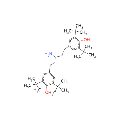 CC(C)(C)c1cc(CCC(N)CCc2cc(C(C)(C)C)c(O)c(C(C)(C)C)c2)cc(C(C)(C)C)c1O